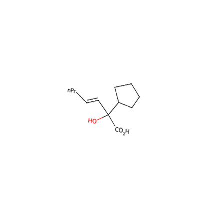 CCCC=CC(O)(C(=O)O)C1CCCC1